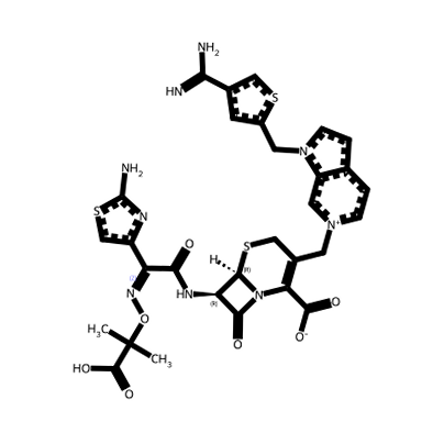 CC(C)(O/N=C(\C(=O)N[C@@H]1C(=O)N2C(C(=O)[O-])=C(C[n+]3ccc4ccn(Cc5cc(C(=N)N)cs5)c4c3)CS[C@H]12)c1csc(N)n1)C(=O)O